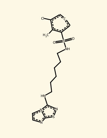 Cc1c(Cl)cccc1S(=O)(=O)NCCCCCCNc1nsc2nccn12